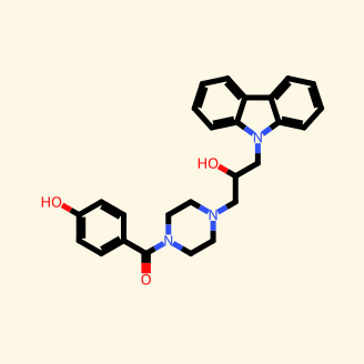 O=C(c1ccc(O)cc1)N1CCN(CC(O)Cn2c3ccccc3c3ccccc32)CC1